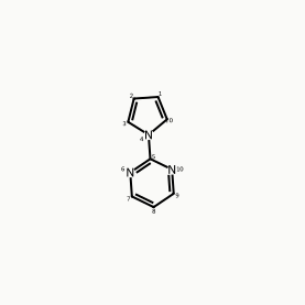 [c]1cccn1-c1ncccn1